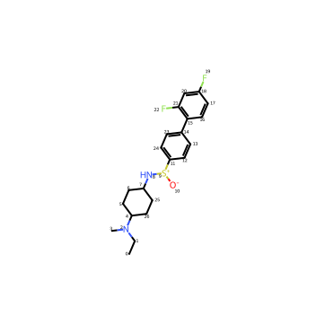 CCN(C)C1CCC(N[S+]([O-])c2ccc(-c3ccc(F)cc3F)cc2)CC1